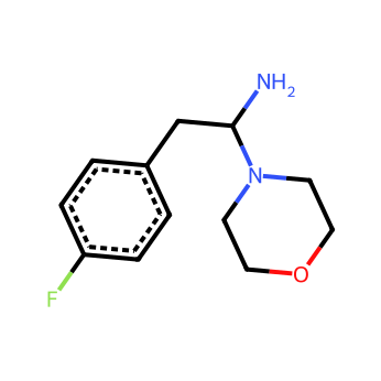 NC(Cc1ccc(F)cc1)N1CCOCC1